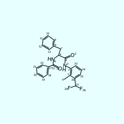 Cc1c(NC(=O)C(Cc2ccccc2)NC(=O)c2ccccc2)cccc1C(F)F